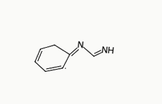 N=CN=C1[C]=CC=CC1